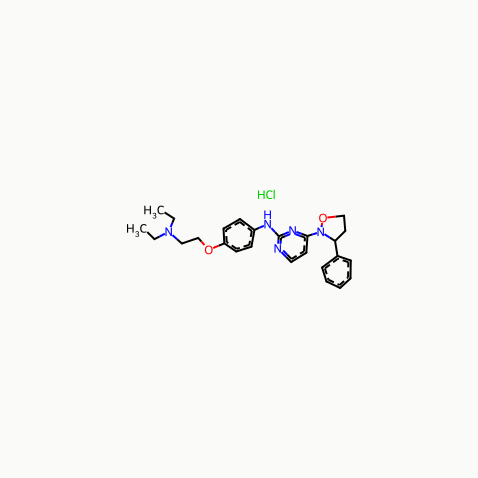 CCN(CC)CCOc1ccc(Nc2nccc(N3OCCC3c3ccccc3)n2)cc1.Cl